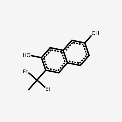 CCC(C)(CC)c1cc2ccc(O)cc2cc1O